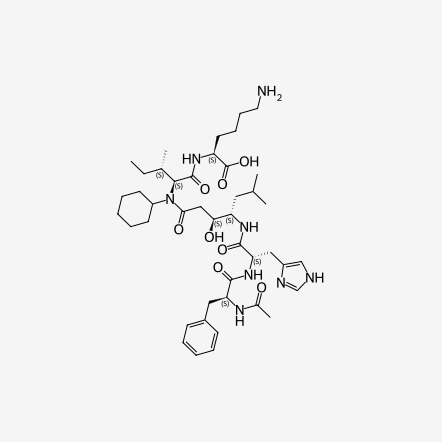 CC[C@H](C)[C@@H](C(=O)N[C@@H](CCCCN)C(=O)O)N(C(=O)C[C@H](O)[C@H](CC(C)C)NC(=O)[C@H](Cc1c[nH]cn1)NC(=O)[C@H](Cc1ccccc1)NC(C)=O)C1CCCCC1